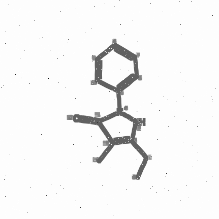 CCc1[nH]n(-c2ccccc2)c(=O)c1C